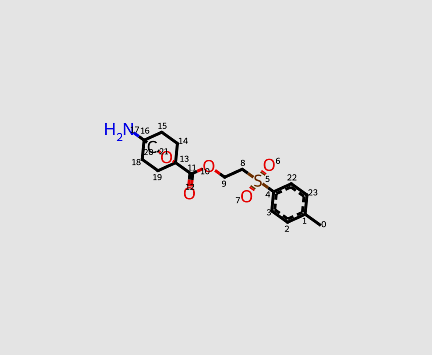 Cc1ccc(S(=O)(=O)CCOC(=O)C23CCC(N)(CC2)CO3)cc1